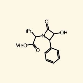 COC(=O)C(C(C)C)N1C(=O)C(O)C1c1ccccc1